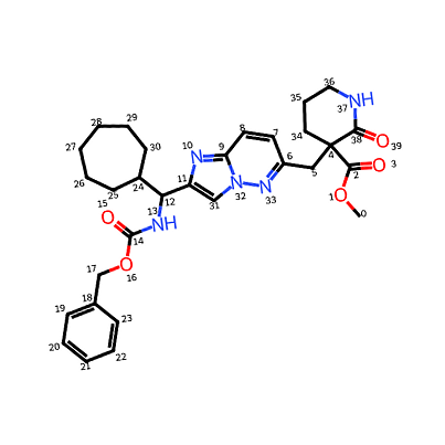 COC(=O)C1(Cc2ccc3nc(C(NC(=O)OCc4ccccc4)C4CCCCCC4)cn3n2)CCCNC1=O